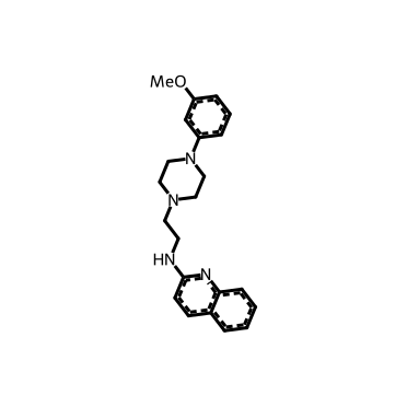 COc1cccc(N2CCN(CCNc3ccc4ccccc4n3)CC2)c1